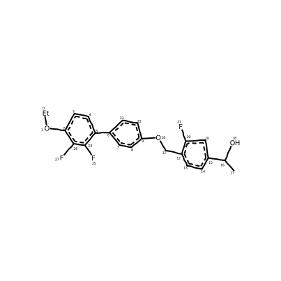 CCOc1ccc(-c2ccc(OCc3ccc(C(C)O)cc3F)cc2)c(F)c1F